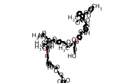 Cc1cccc2c(OC(=O)N3CCN(C)CC3)cc3c(c12)[C@H](CCl)CN3C(=O)c1cn2cc(NC(=O)c3ccc(OC(=O)N(CCOCCO)CCN(C)C(=O)OCc4ccc(NC(=O)[C@H](CCCNC(N)=O)NC(=O)[C@@H](NC(=O)OCCOCCn5cc(CNC(=O)OCCOCCN6C(=O)C=CC6=O)nn5)C(C)C)cc4)cc3)ccc2n1